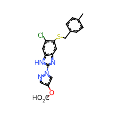 Cc1ccc(CSc2cc3nc(-n4cc(OC(=O)O)cn4)[nH]c3cc2Cl)cc1